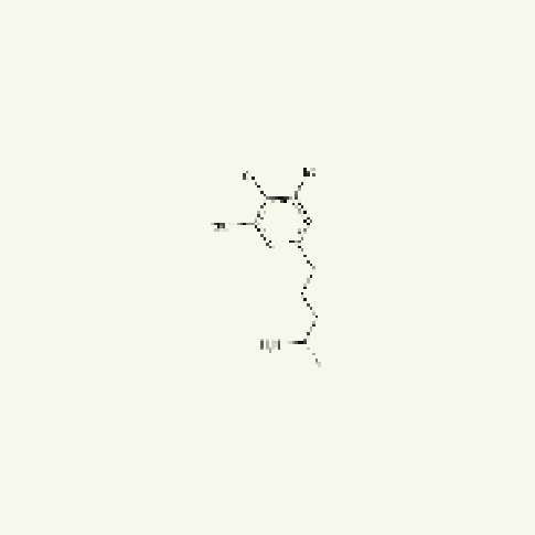 CCc1cc(CCC[C@H](C)N)cc(C(C)(C)C)c1Cl